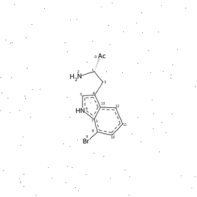 CC(=O)[C@@H](N)Cc1c[nH]c2c(Br)cccc12